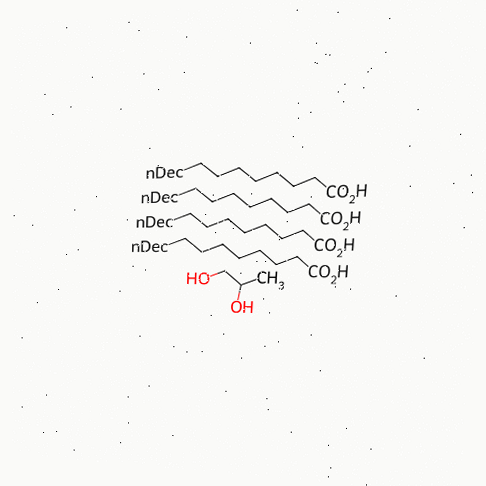 CC(O)CO.CCCCCCCCCCCCCCCCCC(=O)O.CCCCCCCCCCCCCCCCCC(=O)O.CCCCCCCCCCCCCCCCCC(=O)O.CCCCCCCCCCCCCCCCCC(=O)O